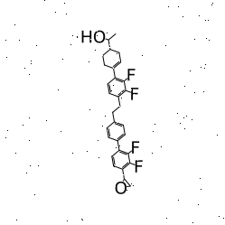 CC(O)C1CC=C(c2ccc(CCc3ccc(-c4ccc(C5CO5)c(F)c4F)cc3)c(F)c2F)CC1